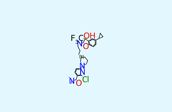 CN(C)C(=O)c1ccc(N2CCC[C@@H](CCCN(C)C(=O)C(O)(c3cccc(C4CC4)c3)C(F)(F)F)C2)nc1Cl